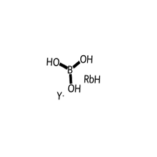 OB(O)O.[RbH].[Y]